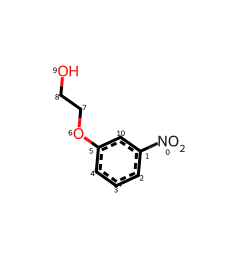 O=[N+]([O-])c1c[c]cc(OCCO)c1